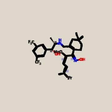 COC(=C/C=C(\C)C(C)C)/C(=N/O)C1=C(CN[C@@H](C)[C@H](O)c2cc(C(F)(F)F)cc(C(F)(F)F)c2)CC(C)(C)CC1